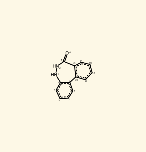 O=C1NNc2ccccc2-c2ccccc21